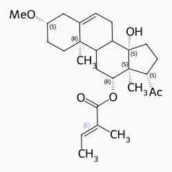 C/C=C(\C)C(=O)O[C@@H]1CC2C(CC=C3C[C@@H](OC)CC[C@@]32C)[C@@]2(O)CC[C@H](C(C)=O)[C@@]12C